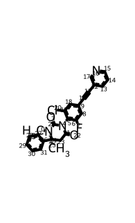 CN1C(=O)N(c2c(F)cc(C#Cc3cccnc3)cc2Cl)C(=O)C[C@@]1(C)c1ccccc1